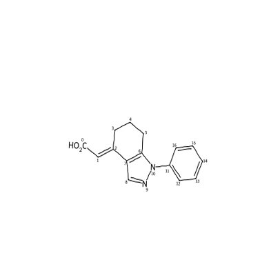 O=C(O)C=C1CCCc2c1cnn2-c1ccccc1